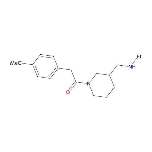 CCNCC1CCCN(C(=O)Cc2ccc(OC)cc2)C1